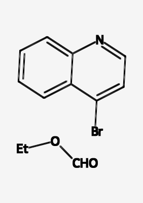 Brc1ccnc2ccccc12.CCOC=O